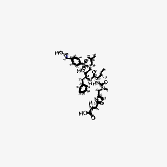 CC[C@H](C)[C@H](NC(=O)N(C)Cc1csc(CNC(=O)O)n1)C(=O)N[C@@H](Cc1ccccc1)[C@H](O)CN(CC(C)C)S(=O)(=O)c1ccc(/C=N/O)cc1